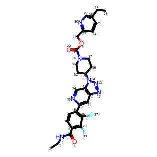 CCNC(=O)c1ccc(-c2cc3nnn(C4CCN(C(=O)OCc5ccc(CC)cn5)CC4)c3cn2)c(F)c1F